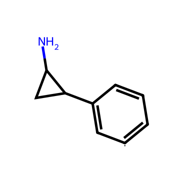 NC1CC1c1c[c]ccc1